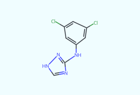 Clc1cc(Cl)cc(Nc2nc[nH]n2)c1